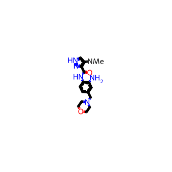 CNc1c[nH]nc1C(=O)Nc1ccc(CN2CCOCC2)cc1N